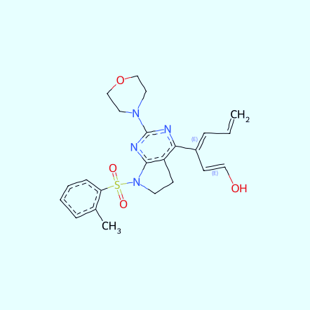 C=C/C=C(\C=C\O)c1nc(N2CCOCC2)nc2c1CCN2S(=O)(=O)c1ccccc1C